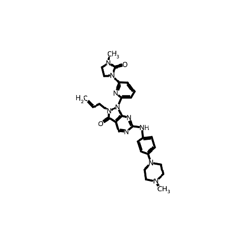 C=CCn1c(=O)c2cnc(Nc3ccc(N4CCN(C)CC4)cc3)nc2n1-c1cccc(N2CCN(C)C2=O)n1